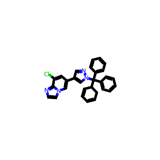 Clc1cc(-c2cnn(C(c3ccccc3)(c3ccccc3)C3C=CC=CC3)c2)cn2ccnc12